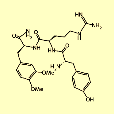 COc1ccc(C[C@H](NC(=O)[C@@H](CCCNC(=N)N)NC(=O)[C@@H](N)Cc2ccc(O)cc2)C(N)=O)cc1OC